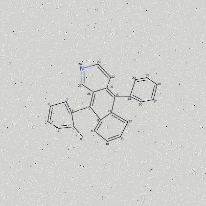 Cc1ccccc1-c1c2ccccc2c(-c2ccccc2)c2ccncc12